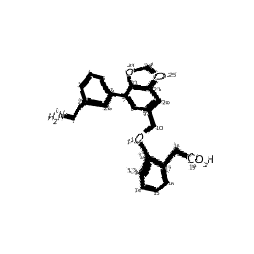 NCc1cccc(-c2cc(COc3ccccc3CC(=O)O)cc3c2OCO3)c1